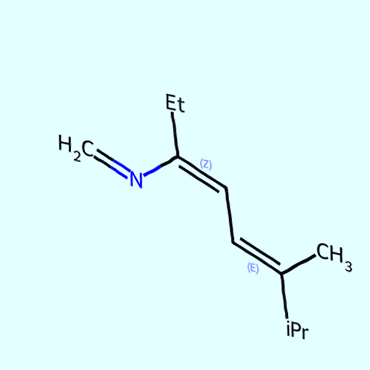 C=N/C(=C\C=C(/C)C(C)C)CC